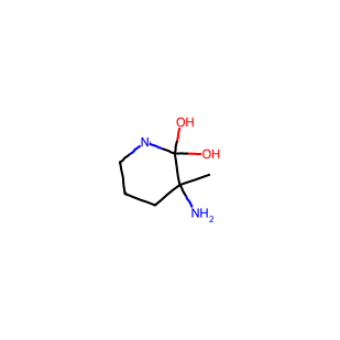 CC1(N)CCC[N]C1(O)O